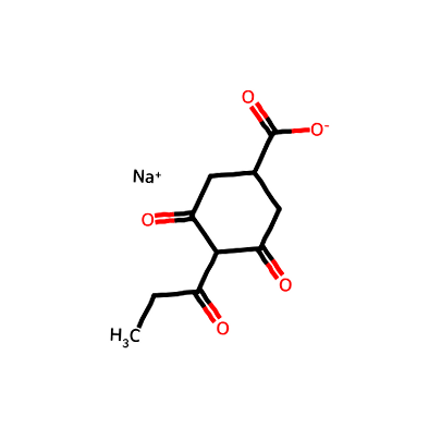 CCC(=O)C1C(=O)CC(C(=O)[O-])CC1=O.[Na+]